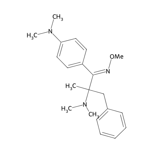 CO/N=C(\c1ccc(N(C)C)cc1)C(C)(Cc1ccccc1)N(C)C